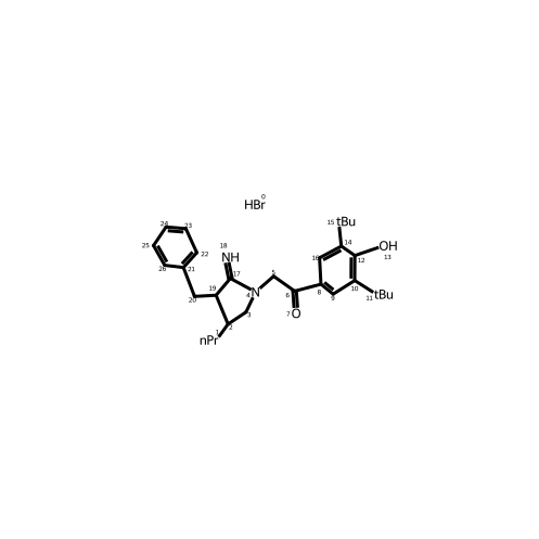 Br.CCCC1CN(CC(=O)c2cc(C(C)(C)C)c(O)c(C(C)(C)C)c2)C(=N)C1Cc1ccccc1